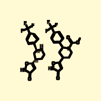 COC(=O)N1CCC(c2cc(=O)[nH]o2)CC1c1ccc(C(F)(F)F)cc1.O=c1cc([C@H]2CCN[C@H](c3ccc(C(F)(F)F)cc3)C2)o[nH]1